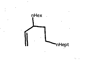 C=CC(CCCCCC)CCCCCCCCC